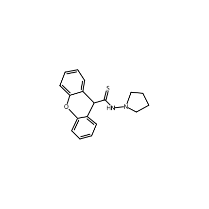 S=C(NN1CCCC1)C1c2ccccc2Oc2ccccc21